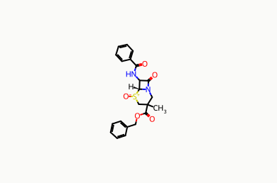 CC1(C(=O)OCc2ccccc2)CN2C(=O)C(NC(=O)c3ccccc3)[C@H]2[S+]([O-])C1